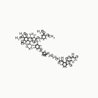 COc1ccc(CC[C@@H](OC(=O)C2CCCCN2C(=O)[C@H](c2cc(OC)c(OC)c(OC)c2)C2CCCCC2)c2cccc(OCc3cn(CCOCCOCC(=O)Nc4cccc5c4C(=O)N(C4CCC(=O)NC4=O)C5=O)nn3)c2)cc1OC